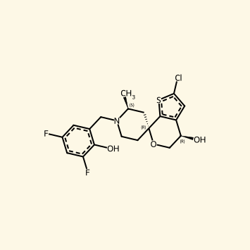 C[C@H]1C[C@@]2(CCN1Cc1cc(F)cc(F)c1O)OC[C@H](O)c1cc(Cl)sc12